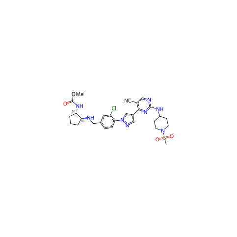 COC(=O)N[C@H]1CCC[C@@H]1NCc1ccc(-n2cc(-c3nc(NC4CCN(S(C)(=O)=O)CC4)ncc3C#N)cn2)c(Cl)c1